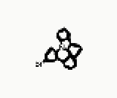 Brc1ccc(-n2c3ccccc3c3ccccc32)c(-c2ccccc2)c1